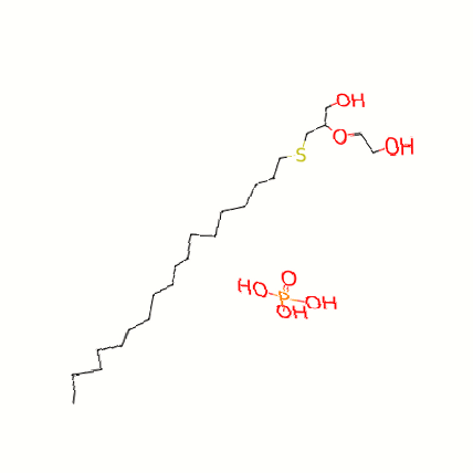 CCCCCCCCCCCCCCCCCCSCC(CO)OCCO.O=P(O)(O)O